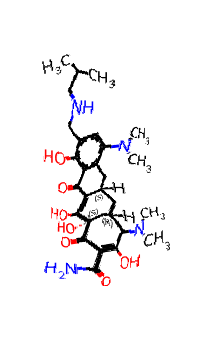 CC(C)CNCc1cc(N(C)C)c2c(c1O)C(=O)C1=C(O)[C@]3(O)C(=O)C(C(N)=O)=C(O)C(N(C)C)[C@H]3C[C@H]1C2